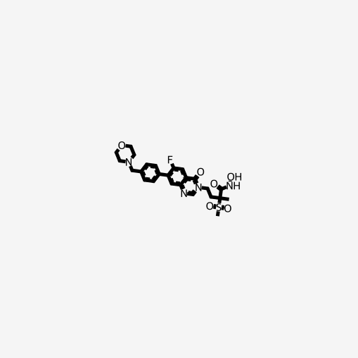 CC(CCn1cnc2cc(-c3ccc(CN4CCOCC4)cc3)c(F)cc2c1=O)(C(=O)NO)S(C)(=O)=O